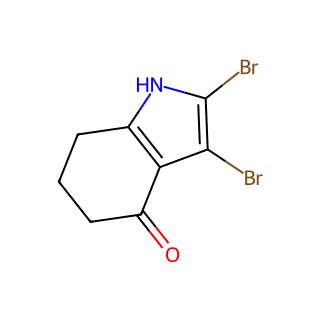 O=C1CCCc2[nH]c(Br)c(Br)c21